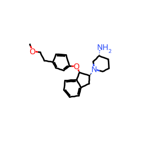 COCCc1ccc(O[C@@H]2c3ccccc3C[C@H]2N2CCC[C@@H](N)C2)cc1